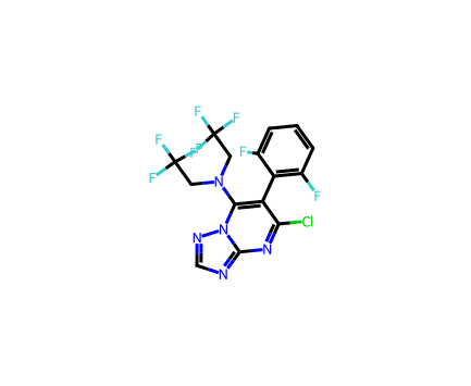 Fc1cccc(F)c1-c1c(Cl)nc2ncnn2c1N(CC(F)(F)F)CC(F)(F)F